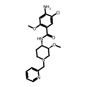 COc1cc(N)c(Cl)cc1C(=O)N[C@@H]1CCN(Cc2ccccn2)C[C@@H]1OC